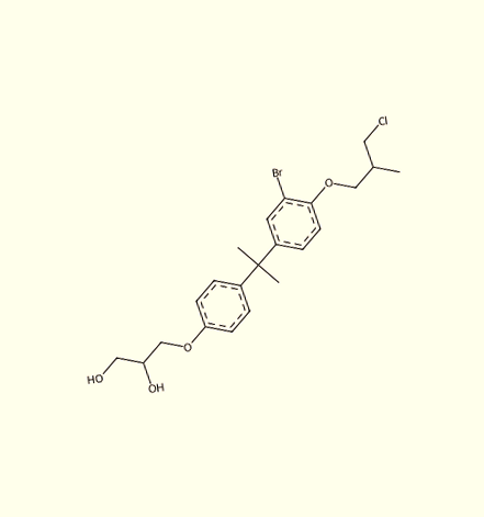 CC(CCl)COc1ccc(C(C)(C)c2ccc(OCC(O)CO)cc2)cc1Br